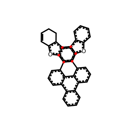 C1=Cc2oc3c(-c4cccc5c6ccccc6c6cccc(-c7cccc8c7oc7ccccc78)c6c45)cccc3c2CC1